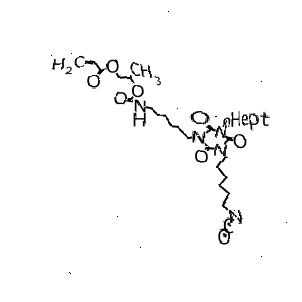 C=CC(=O)OCC(C)OC(=O)NCCCCCCn1c(=O)n(CCCCCCC)c(=O)n(CCCCCCN=C=O)c1=O